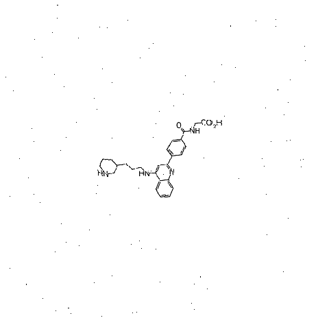 O=C(O)CNC(=O)c1ccc(-c2cc(NCCCC3CCCNC3)c3ccccc3n2)cc1